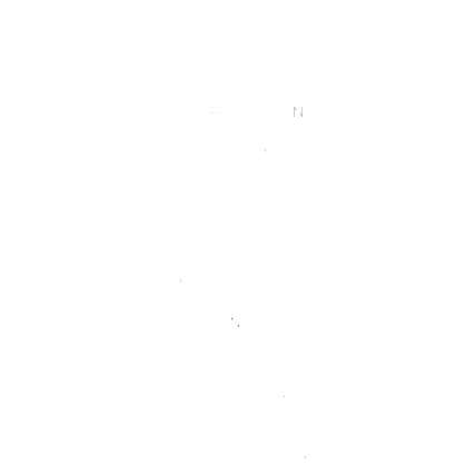 CC(c1ccc(C(=O)N2CCC3(CC2)COC3)cc1)N1CCCC(c2ccccc2)S1(=O)=O